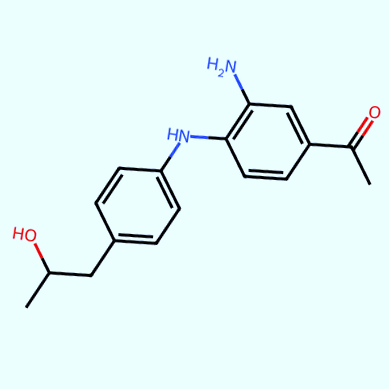 CC(=O)c1ccc(Nc2ccc(CC(C)O)cc2)c(N)c1